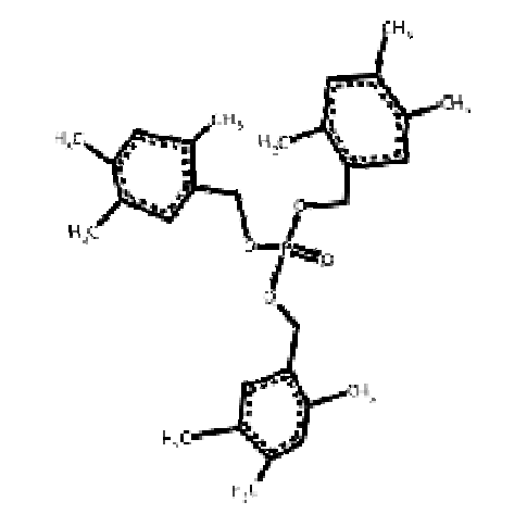 Cc1cc(C)c(COP(=O)(OCc2cc(C)c(C)cc2C)OCc2cc(C)c(C)cc2C)cc1C